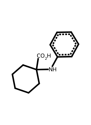 O=C(O)C1(Nc2ccccc2)CCCCC1